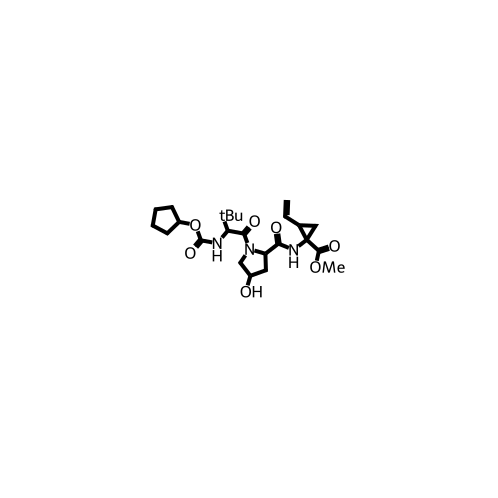 C=CC1CC1(NC(=O)C1CC(O)CN1C(=O)C(NC(=O)OC1CCCC1)C(C)(C)C)C(=O)OC